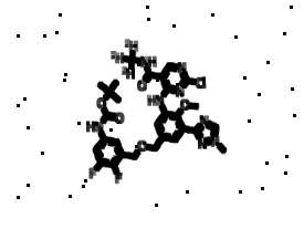 [2H]C([2H])([2H])NC(=O)c1cnc(Cl)nc1Nc1cc(COCc2cc(NC(=O)OC(C)(C)C)cc(F)c2F)cc(-c2ncn(C)n2)c1OC